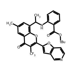 Cc1cc(C(C)Nc2ccccc2C(=O)OC(C)(C)C)c2oc(-c3cc4cnccc4o3)c(C(F)(F)F)c(=O)c2c1